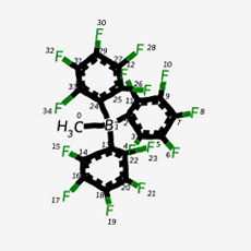 C[B-](c1c(F)c(F)c(F)c(F)c1F)(c1c(F)c(F)c(F)c(F)c1F)c1c(F)c(F)c(F)c(F)c1F